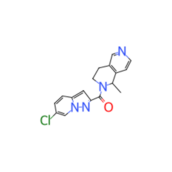 CC1c2ccncc2CCN1C(=O)c1cc2ccc(Cl)cn2n1